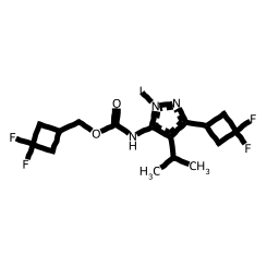 CC(C)c1c(C2CC(F)(F)C2)nn(I)c1NC(=O)OCC1CC(F)(F)C1